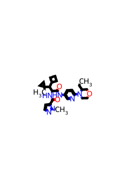 CCC1COCCN1c1ccc(NC(=O)[C@@H](NC(=O)c2ccnn2C)C(C2CCC2)C2(C)CC2)cn1